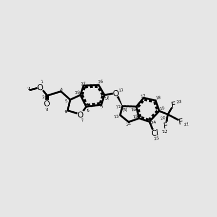 COC(=O)CC1COc2cc(O[C@@H]3CCc4c3ccc(C(F)(F)F)c4Cl)ccc21